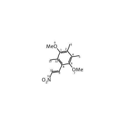 COc1c(C)c(C)c(OC)c(C=C[N+](=O)[O-])c1C